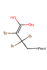 CCCCCCC(Br)(Br)C(Br)=C(O)O